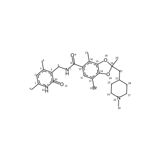 Cc1cc(C)c(CNC(=O)c2cc(Br)c3c(c2C)OC(C)(CC2CCN(C)CC2)O3)c(=O)[nH]1